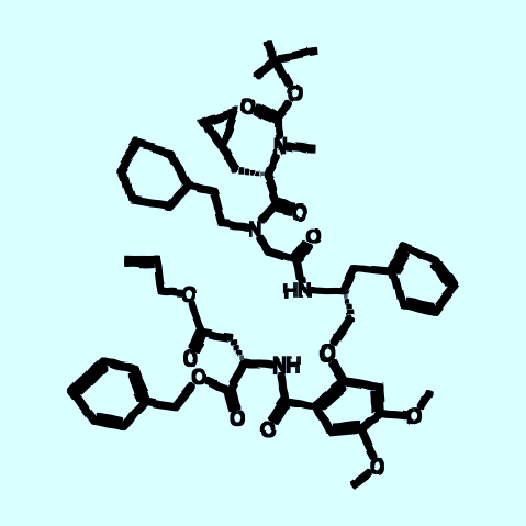 C=CCOC(=O)C[C@H](NC(=O)c1cc(OC)c(OC)cc1OC[C@@H](Cc1ccccc1)NC(=O)CN(CCC1CCCCC1)C(=O)[C@H](CC1CC1)N(C)C(=O)OC(C)(C)C)C(=O)OCc1ccccc1